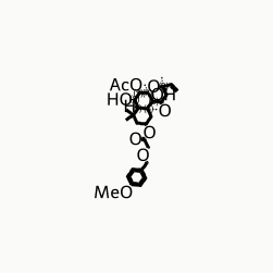 C=C[C@@]1(C)CC(=O)[C@]2(O)[C@@]3(C)CC(OC(=O)COCc4ccc(OC)cc4)CC(C)(C)[C@@H]3[C@H](O)[C@H](OC(C)=O)[C@@]2(C)O1